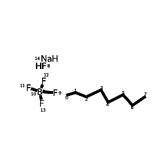 CCCCCCCC.F.F[B-](F)(F)F.[NaH]